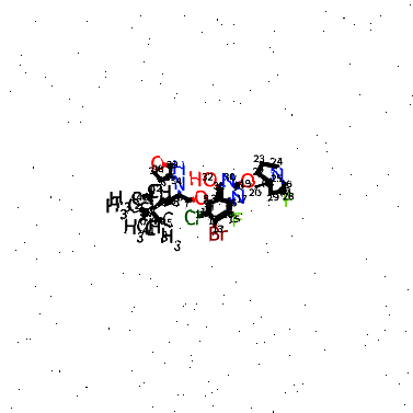 CC(C)[Si](C#CC(COc1c(Cl)c(Br)c(F)c2nc(OC[C@@]34CCCN3C[C@H](F)C4)nc(O)c12)NC1CCOC1)(C(C)C)C(C)C